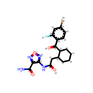 NC(=O)c1nonc1NC(=O)CC1CCCCC1C(=O)c1ccc(Br)cc1F